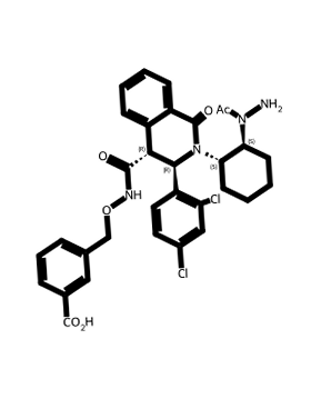 CC(=O)N(N)[C@H]1CCCC[C@@H]1N1C(=O)c2ccccc2[C@@H](C(=O)NOCc2cccc(C(=O)O)c2)[C@@H]1c1ccc(Cl)cc1Cl